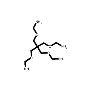 NCOCC(COCN)(COCN)COCN